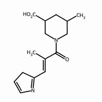 C/C(=C\C1=NC=CC1)C(=O)N1CC(C)CC(C(=O)O)C1